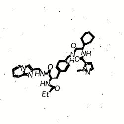 CCC(=O)N[C@H](Cc1ccc(CNC(=O)[C@@H](NC(=O)c2ccnn2C)C2CCCCC2)cc1)C(=O)NCc1cn2ccccc2n1